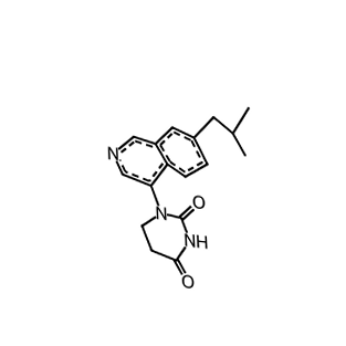 CC(C)Cc1ccc2c(N3CCC(=O)NC3=O)cncc2c1